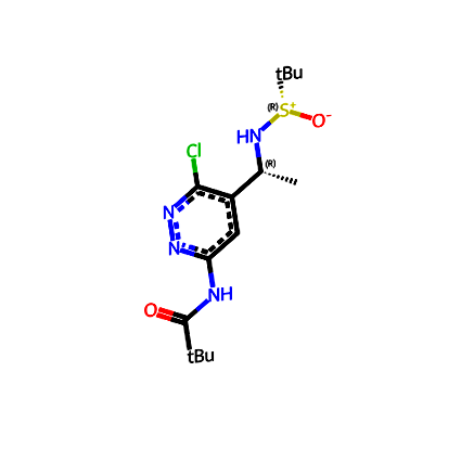 C[C@@H](N[S@@+]([O-])C(C)(C)C)c1cc(NC(=O)C(C)(C)C)nnc1Cl